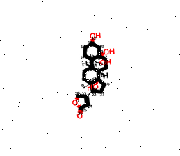 C[C@]12CC[C@H]3[C@@H](CCC4(O)CC(O)CC[C@]34CO)[C@]1(O)CC[C@@H]2C1=CC(=O)OC1